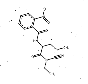 CCN(C#N)C(=O)C(CSC)NC(=O)c1ccccc1[N+](=O)[O-]